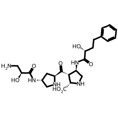 NC[C@H](O)C(=O)N[C@H]1CN[C@H](C(=O)[C@@H]2[C@@H](NC(=O)[C@H](O)CCc3ccccc3)CN[C@@H]2C(=O)O)C1